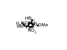 COCOc1cc([N+](=O)[O-])c(C[C@@](N)(C(=O)O)C(C)(C)C)cc1CO